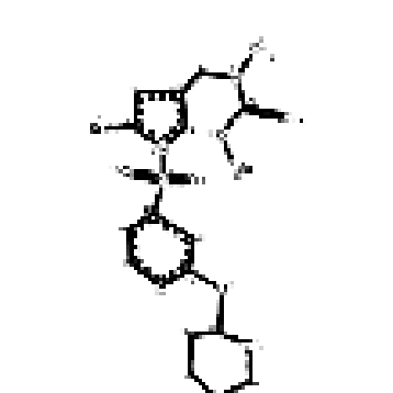 CN(Cc1cc(Br)n(S(=O)(=O)c2cccc(OC3CCCCO3)c2)c1)C(=O)OC(C)(C)C